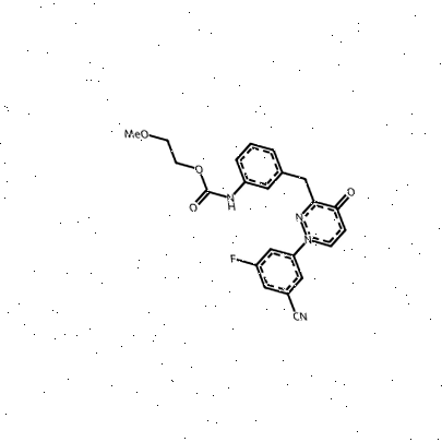 COCCOC(=O)Nc1cccc(Cc2nn(-c3cc(F)cc(C#N)c3)ccc2=O)c1